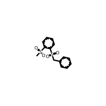 CS(=O)(=O)c1ccccc1S(=O)(=O)Cc1ccccc1